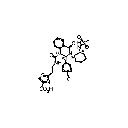 CS(=O)(=O)N[C@H]1CCCC[C@@H]1N1C(=O)c2ccccc2[C@@H](C(=O)NCCc2nc(C(=O)O)cs2)[C@@H]1c1ccc(Cl)cc1